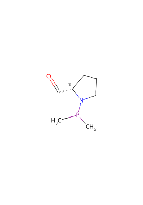 CP(C)N1CCC[C@H]1C=O